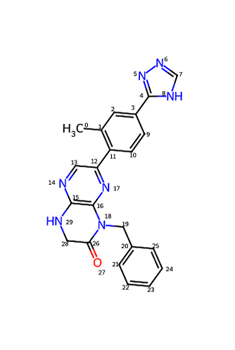 Cc1cc(-c2nnc[nH]2)ccc1-c1cnc2c(n1)N(Cc1ccccc1)C(=O)CN2